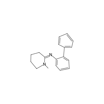 CN1CCCCC1=Nc1ccccc1-c1ccccc1